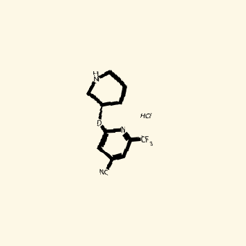 Cl.N#Cc1cc(O[C@@H]2CCCNC2)nc(C(F)(F)F)c1